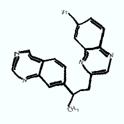 CC(C)c1ccc2ncc(CC(C)c3ccc4cncnc4c3)nc2c1